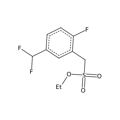 CCOS(=O)(=O)Cc1cc(C(F)F)ccc1F